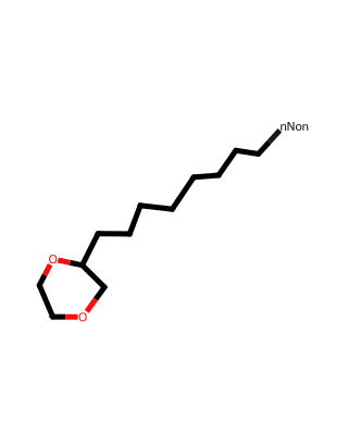 CCCCCCCCCCCCCCCCCC1CO[CH]CO1